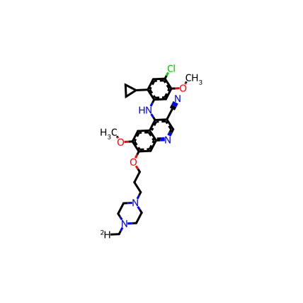 [2H]CN1CCN(CCCOc2cc3ncc(C#N)c(Nc4cc(OC)c(Cl)cc4C4CC4)c3cc2OC)CC1